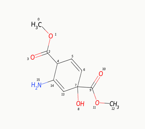 COC(=O)C1C=CC(O)(C(=O)OC)C=C1N